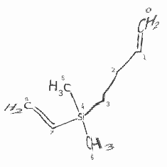 C=CCC[Si](C)(C)C=C